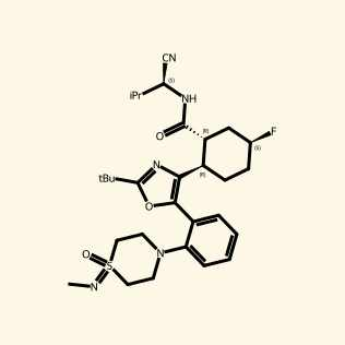 CN=S1(=O)CCN(c2ccccc2-c2oc(C(C)(C)C)nc2[C@@H]2CC[C@H](F)C[C@H]2C(=O)N[C@H](C#N)C(C)C)CC1